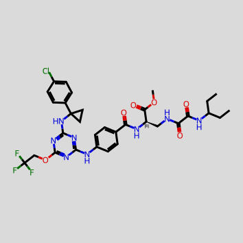 CCC(CC)NC(=O)C(=O)NC[C@@H](NC(=O)c1ccc(Nc2nc(NC3(c4ccc(Cl)cc4)CC3)nc(OCC(F)(F)F)n2)cc1)C(=O)OC